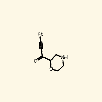 CCC#CC(=O)C1CNCCO1